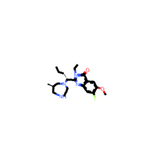 CCC[C@H](c1nc2cc(F)c(OC)cc2c(=O)n1CC)N1CCNC[C@@H](C)C1